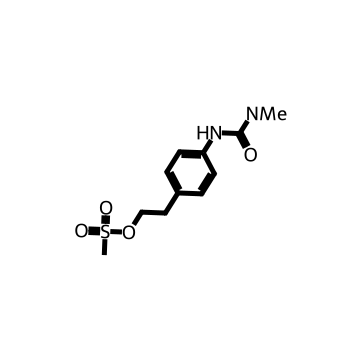 CNC(=O)Nc1ccc(CCOS(C)(=O)=O)cc1